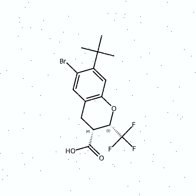 CC(C)(C)c1cc2c(cc1Br)C[C@@H](C(=O)O)[C@@H](C(F)(F)F)O2